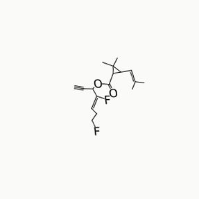 C#CC(OC(=O)C1C(C=C(C)C)C1(C)C)/C(F)=C/CCF